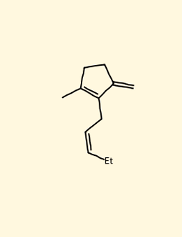 C=C1CCC(C)=C1C/C=C\CC